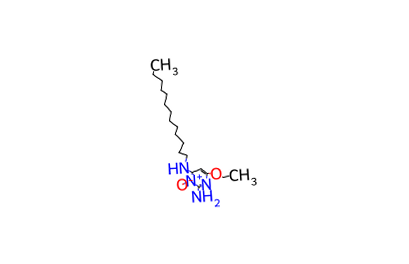 CCCCCCCCCCCCCNc1cc(OCC)nc(N)[n+]1[O-]